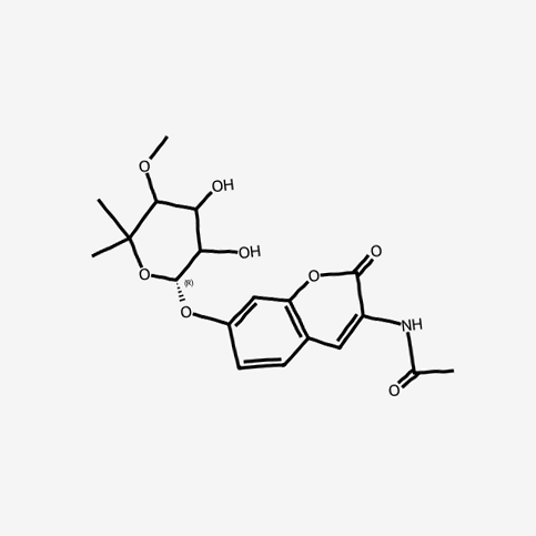 COC1C(O)C(O)[C@H](Oc2ccc3cc(NC(C)=O)c(=O)oc3c2)OC1(C)C